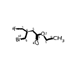 CCOC(=O)C[C@H](CF)CBr